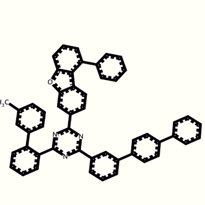 Cc1cccc(-c2ccccc2-c2nc(-c3cccc(-c4ccc(-c5ccccc5)cc4)c3)nc(-c3ccc4c(c3)oc3cccc(-c5ccccc5)c34)n2)c1